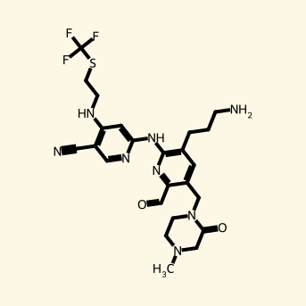 CN1CCN(Cc2cc(CCCN)c(Nc3cc(NCCSC(F)(F)F)c(C#N)cn3)nc2C=O)C(=O)C1